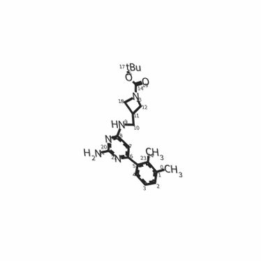 Cc1cccc(-c2cc(NCC3CN(C(=O)OC(C)(C)C)C3)nc(N)n2)c1C